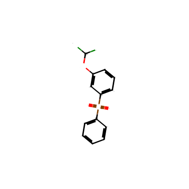 O=S(=O)(c1ccccc1)c1cccc(OC(F)F)c1